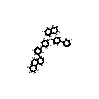 c1ccc(-c2ccc(N(c3ccc(-c4cccc(-c5cccc6c5ccc5ccccc56)c4)cc3)c3cccc4ccccc34)cc2)cc1